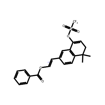 CC1(C)CC=C(OS(=O)(=O)C(F)(F)F)c2cc(/C=C/OC(=O)c3ccccc3)ccc21